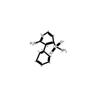 Nc1nccc(S(N)(=O)=O)c1-c1ccccc1